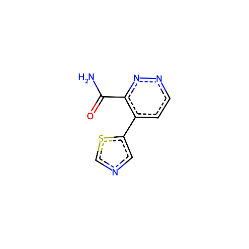 NC(=O)c1nnccc1-c1cncs1